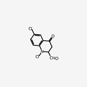 O=CC1CC(=O)c2cc(Cl)ccc2N1Cl